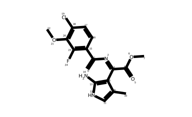 C=C(/N=C(/C(=O)OC)c1c(C)c[nH]c1N)c1ccc(Cl)c(OC)c1F